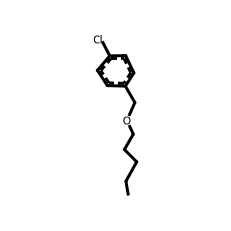 CCCCCOCc1ccc(Cl)cc1